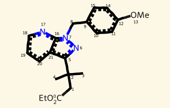 CCOC(=O)CC(C)(C)c1nn(Cc2ccc(OC)cc2)c2ncccc12